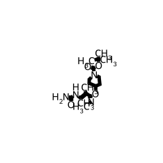 C/N=C(OC1CCN(C(=O)OC(C)(C)C)CC1)\C(C)=C(/C)NC(N)=O